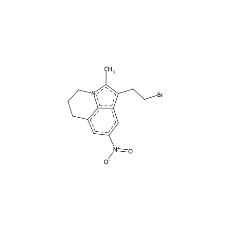 Cc1c(CCBr)c2cc([N+](=O)[O-])cc3c2n1CCC3